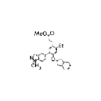 CCc1cc(OC2Cc3ccccc3C2)c(-c2ccc3c(cnn3C)c2)cc1CCC(=O)OC